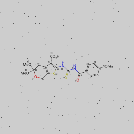 COc1ccc(C(=O)NC(=S)Nc2sc3c(c2C(=O)O)CC(OC)(OC)OC3)cc1